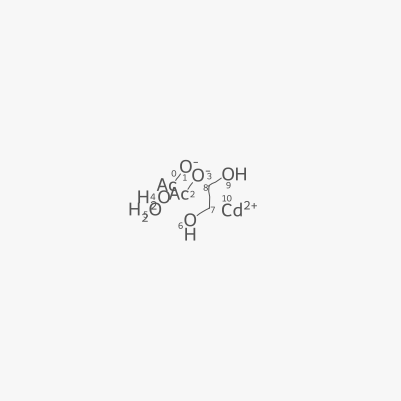 CC(=O)[O-].CC(=O)[O-].O.O.OCCO.[Cd+2]